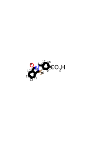 O=C(O)c1ccc(CN2C(=O)c3ccccc3C2=S)cc1